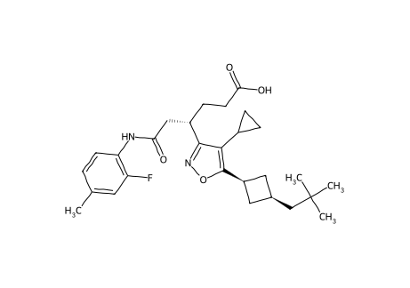 Cc1ccc(NC(=O)C[C@H](CCC(=O)O)c2noc([C@H]3C[C@@H](CC(C)(C)C)C3)c2C2CC2)c(F)c1